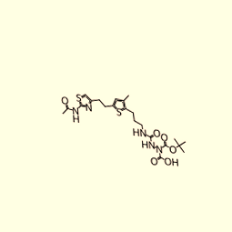 CC(=O)Nc1nc(CCc2cc(C)c(CCCNC(=O)NN(C(=O)O)C(=O)OC(C)(C)C)s2)cs1